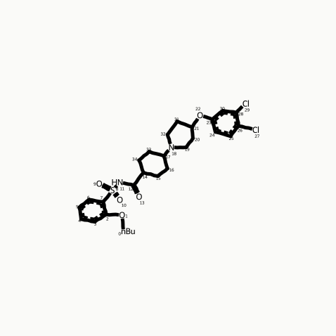 CCCCOc1ccccc1S(=O)(=O)NC(=O)C1CCC(N2CCC(Oc3ccc(Cl)c(Cl)c3)CC2)CC1